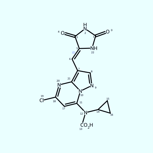 O=C1NC(=O)/C(=C/c2cnn3c(N(C(=O)O)C4CC4)cc(Cl)nc23)N1